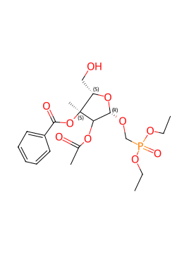 CCOP(=O)(CO[C@H]1O[C@@H](CO)[C@](C)(OC(=O)c2ccccc2)C1OC(C)=O)OCC